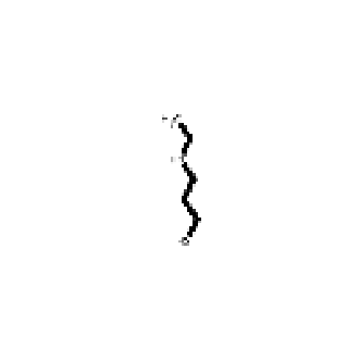 CCNCCCS